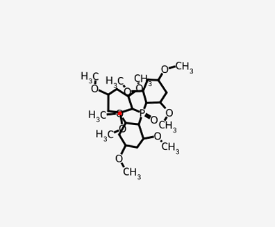 COC1CC(OC)C(P(=O)(C2C(OC)CC(OC)CC2OC)C2C(OC)CC(OC)CC2OC)C(OC)C1